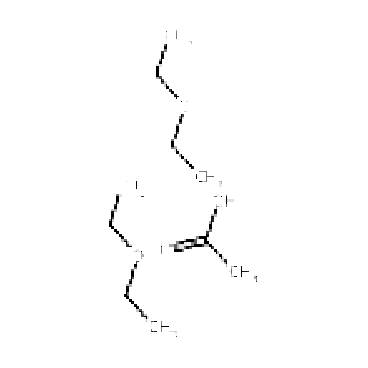 CC(=O)O.CCOCC.CCOCC